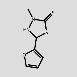 CN1NC(c2ccco2)SC1=S